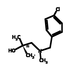 [CH2][C@@](C)(O)CN(C)Cc1ccc(Cl)cc1